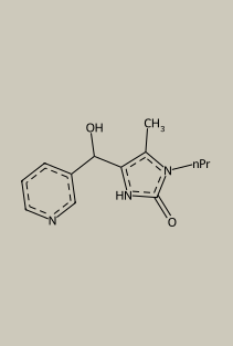 CCCn1c(C)c(C(O)c2cccnc2)[nH]c1=O